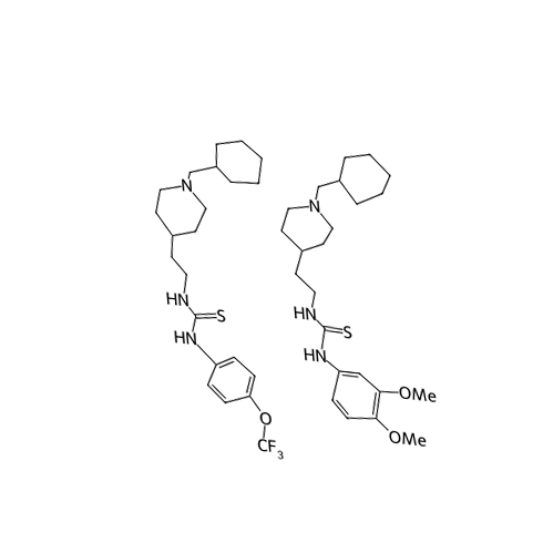 COc1ccc(NC(=S)NCCC2CCN(CC3CCCCC3)CC2)cc1OC.FC(F)(F)Oc1ccc(NC(=S)NCCC2CCN(CC3CCCCC3)CC2)cc1